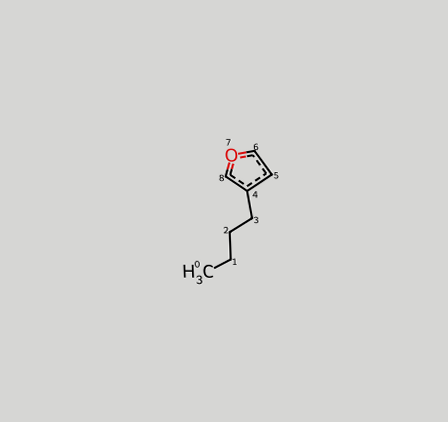 CCCCc1ccoc1